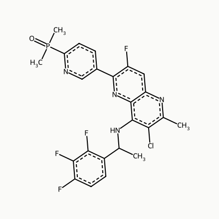 Cc1nc2cc(F)c(-c3ccc(P(C)(C)=O)nc3)nc2c(NC(C)c2ccc(F)c(F)c2F)c1Cl